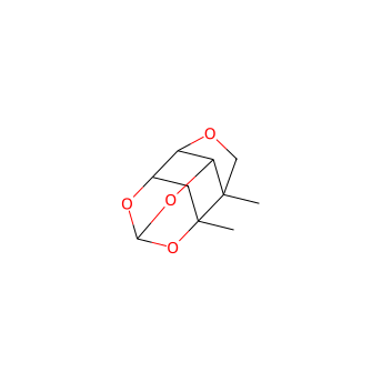 CC12CC3OC(OC4C3OCC41C)O2